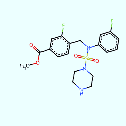 COC(=O)c1ccc(CN(c2cccc(F)c2)S(=O)(=O)N2CCNCC2)c(F)c1